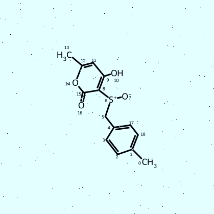 Cc1ccc(C[S+]([O-])c2c(O)cc(C)oc2=O)cc1